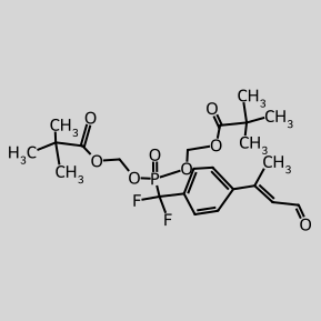 C/C(=C\C=O)c1ccc(C(F)(F)P(=O)(OCOC(=O)C(C)(C)C)OCOC(=O)C(C)(C)C)cc1